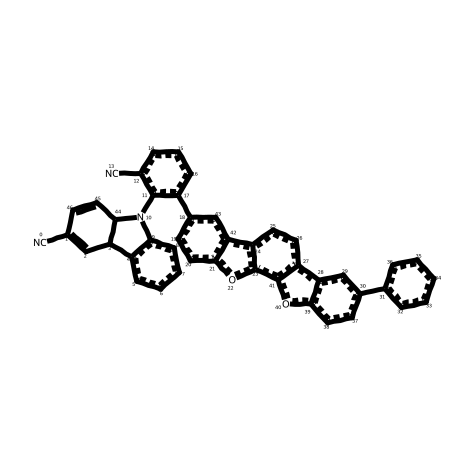 N#CC1=CC2c3ccccc3N(c3c(C#N)cccc3-c3ccc4oc5c(ccc6c7cc(-c8ccccc8)ccc7oc65)c4c3)C2C=C1